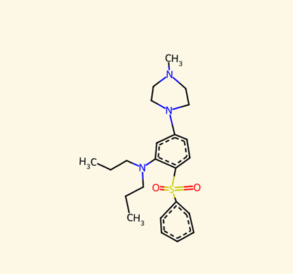 CCCN(CCC)c1cc(N2CCN(C)CC2)ccc1S(=O)(=O)c1ccccc1